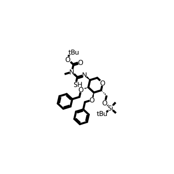 CN(C(=O)OC(C)(C)C)/C(S)=N/[C@H]1CO[C@H](CO[Si](C)(C)C(C)(C)C)[C@@H](OCc2ccccc2)[C@@H]1OCc1ccccc1